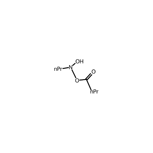 CCCC(=O)ON(O)CCC